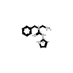 CCN(Cc1ccccc1)C(=O)O[C@@H]1C=CCO1